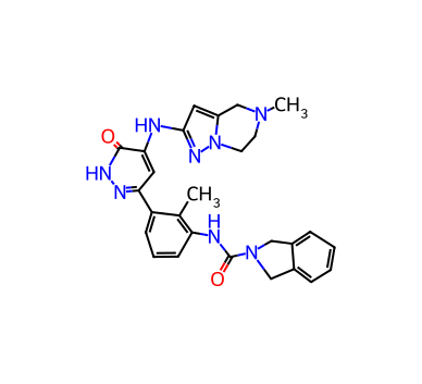 Cc1c(NC(=O)N2Cc3ccccc3C2)cccc1-c1cc(Nc2cc3n(n2)CCN(C)C3)c(=O)[nH]n1